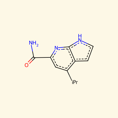 CC(C)c1cc(C(N)=O)nc2[nH]ccc12